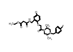 CCOC(=O)CC(=O)NCc1cc(Cl)ccc1OCC(=O)N1C[C@@H](C)N(Cc2ccc(F)cc2)C[C@@H]1C